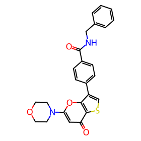 O=C(NCc1ccccc1)c1ccc(-c2csc3c(=O)cc(N4CCOCC4)oc23)cc1